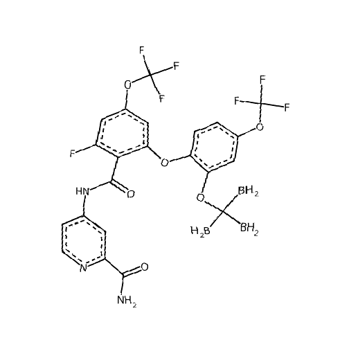 BC(B)(B)Oc1cc(OC(F)(F)F)ccc1Oc1cc(OC(F)(F)F)cc(F)c1C(=O)Nc1ccnc(C(N)=O)c1